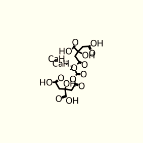 O=C(O)CC(O)(CC(=O)OC(=O)OC(=O)CC(O)(CC(=O)O)C(=O)O)C(=O)O.[CaH2].[CaH2]